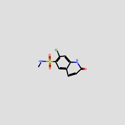 CNS(=O)(=O)c1cc2c[c]c(=O)[nH]c2cc1Cl